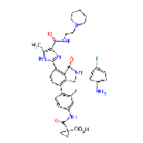 Cc1[nH]c(-c2ccc(-c3ccc(NC(=O)C4(C(=O)O)CC4)cc3F)c3c2C(=O)NC3)nc1C(=O)NCCN1CCCCC1.Nc1ccc(F)cc1